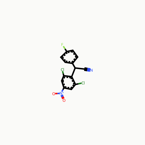 N#CC(c1ccc(F)cc1)c1c(Cl)cc([N+](=O)[O-])cc1Cl